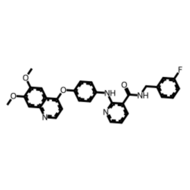 COc1cc2nccc(Oc3ccc(Nc4ncccc4C(=O)NCc4cccc(F)c4)cc3)c2cc1OC